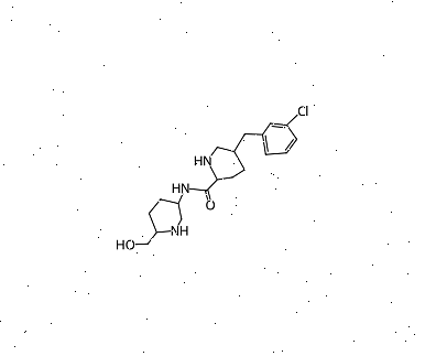 O=C(NC1CCC(CO)NC1)C1CCC(Cc2cccc(Cl)c2)CN1